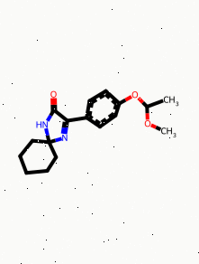 COC(C)Oc1ccc(C2=NC3(CCCCC3)NC2=O)cc1